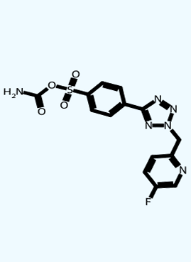 NC(=O)OS(=O)(=O)c1ccc(-c2nnn(Cc3ccc(F)cn3)n2)cc1